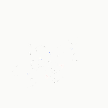 N#Cc1ccc(-n2c3ccc(N(c4ccccc4)c4ccccc4)cc3c3c4oc5ccccc5c4ccc32)c(-n2c3ccc(N(c4ccccc4)c4ccccc4)cc3c3c4oc5ccccc5c4ccc32)c1C#N